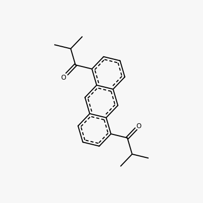 CC(C)C(=O)c1cccc2cc3c(C(=O)C(C)C)cccc3cc12